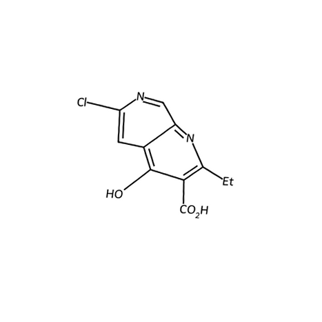 CCc1nc2cnc(Cl)cc2c(O)c1C(=O)O